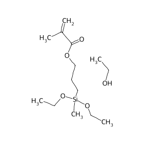 C=C(C)C(=O)OCCC[Si](C)(OCC)OCC.CCO